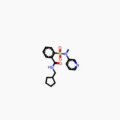 CN(c1cccnc1)S(=O)(=O)c1ccccc1C(=O)NCC1CCCC1